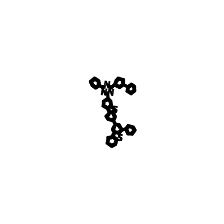 c1ccc(-c2cccc(-c3nc(-c4ccccc4)nc(-c4ccc5c(c4)sc4cc(-c6cc(-c7ccccc7)c7sc8ccccc8c7c6)ccc45)n3)c2)cc1